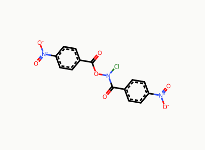 O=C(ON(Cl)C(=O)c1ccc([N+](=O)[O-])cc1)c1ccc([N+](=O)[O-])cc1